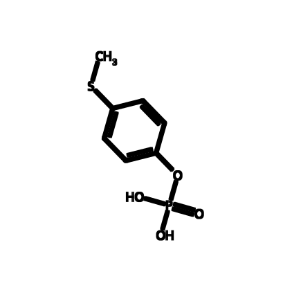 CSc1ccc(OP(=O)(O)O)cc1